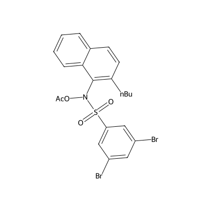 CCCCc1ccc2ccccc2c1N(OC(C)=O)S(=O)(=O)c1cc(Br)cc(Br)c1